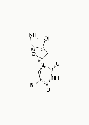 NC[C@H]1O[C@@H](n2cc(Br)c(=O)[nH]c2=O)C[C@@H]1O